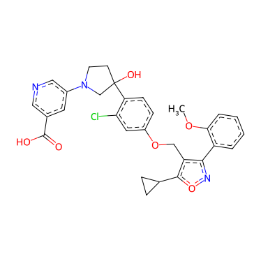 COc1ccccc1-c1noc(C2CC2)c1COc1ccc(C2(O)CCN(c3cncc(C(=O)O)c3)C2)c(Cl)c1